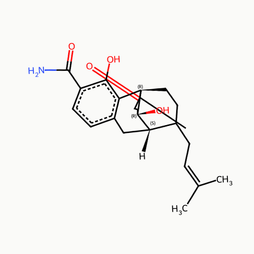 CC(C)=CCC1CC[C@]23CC(=O)CC[C@@]2(O)[C@H]1Cc1ccc(C(N)=O)c(O)c13